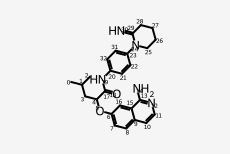 CC(C)CC(Oc1ccc2ccnc(N)c2c1)C(=O)Nc1ccc(N2CCCCC2=N)cc1